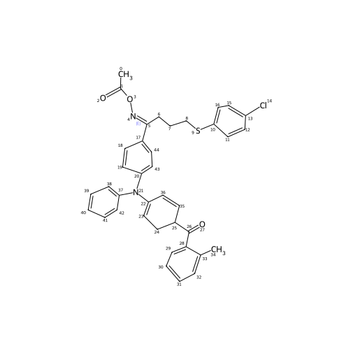 CC(=O)O/N=C(\CCCSc1ccc(Cl)cc1)c1ccc(N(C2=CCC(C(=O)c3ccccc3C)C=C2)c2ccccc2)cc1